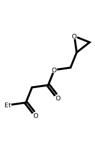 CCC(=O)CC(=O)OCC1CO1